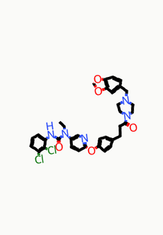 CCN(C(=O)Nc1cccc(Cl)c1Cl)c1ccc(Oc2ccc(CCC(=O)N3CCN(Cc4ccc5c(c4)OCO5)CC3)cc2)nc1